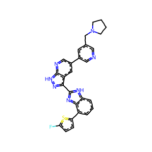 Fc1ccc(-c2cccc3[nH]c(-c4n[nH]c5ncc(-c6cncc(CN7CCCC7)c6)cc45)nc23)s1